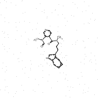 CN(CCCc1c[nH]c2ccccc12)C(=O)c1ccncc1N(C)C=O